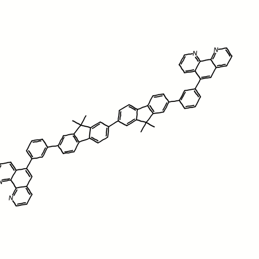 CC1(C)c2cc(-c3cccc(-c4cc5cccnc5c5ncccc45)c3)ccc2-c2ccc(-c3ccc4c(c3)C(C)(C)c3cc(-c5cccc(-c6cc7cccnc7c7ncccc67)c5)ccc3-4)cc21